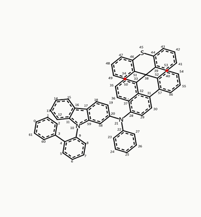 c1ccc(-c2ccccc2-n2c3ccccc3c3ccc(N(c4ccccc4)c4ccc5c6c(cccc46)C4(c6ccccc6Sc6ccccc64)c4ccccc4-5)cc32)cc1